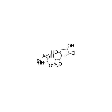 CCNC(=O)Oc1noc(-c2cc(Cl)c(O)cc2O)c1NC(C)=O